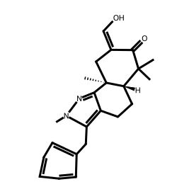 Cn1nc2c(c1Cc1ccccc1)CC[C@H]1C(C)(C)C(=O)/C(=C\O)C[C@]21C